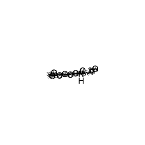 COc1ccc(CCCC(=O)NCCOCCOCCOCCOCCC(=O)OC(C)(C)C)cc1